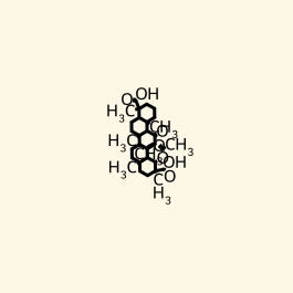 CC(=O)OC1C2C3=CC(=O)C4C5(C)CCCC(C)(C(=O)O)C5CCC4(C)C3(C)CCC2(C)CCC1(C)C(=O)O